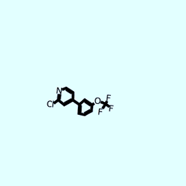 FC(F)(F)Oc1cccc(-c2ccnc(Cl)c2)c1